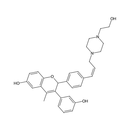 CC1=C(c2cccc(O)c2)C(c2ccc(/C=C\CN3CCN(CCO)CC3)cc2)Oc2ccc(O)cc21